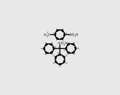 Cc1ccc(S(=O)(=O)O)cc1.O=C(O)C(c1ccccc1)(c1ccccc1)c1ccccc1